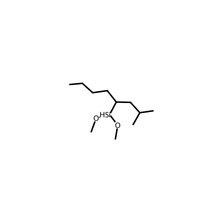 CCCCC(CC(C)C)[SiH](OC)OC